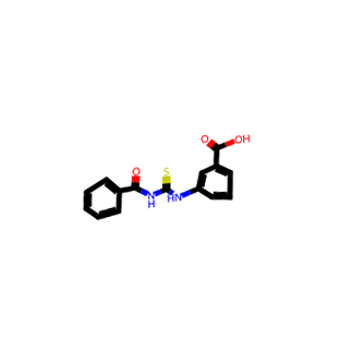 O=C(O)c1cccc(NC(=S)NC(=O)c2ccccc2)c1